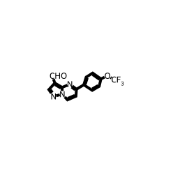 O=Cc1cnn2ccc(-c3ccc(OC(F)(F)F)cc3)nc12